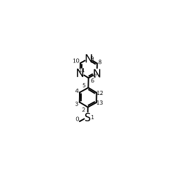 CSc1ccc(-c2ncncn2)cc1